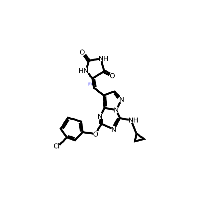 O=C1NC(=O)/C(=C\c2cnn3c(NC4CC4)nc(Oc4cccc(Cl)c4)nc23)N1